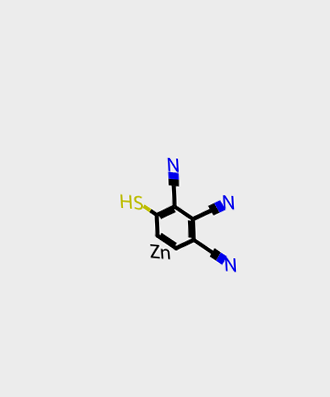 N#Cc1ccc(S)c(C#N)c1C#N.[Zn]